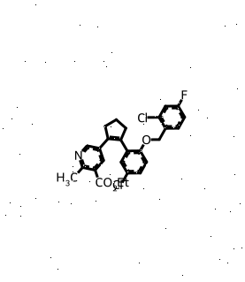 CCOC(=O)c1cc(C2=C(c3cc(Cl)ccc3OCc3ccc(F)cc3Cl)CCC2)cnc1C